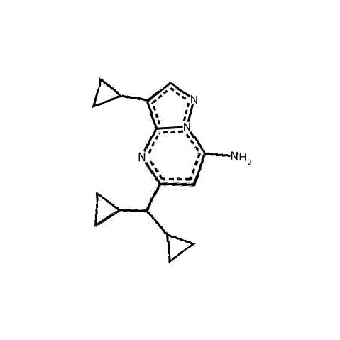 Nc1cc(C(C2CC2)C2CC2)nc2c(C3CC3)cnn12